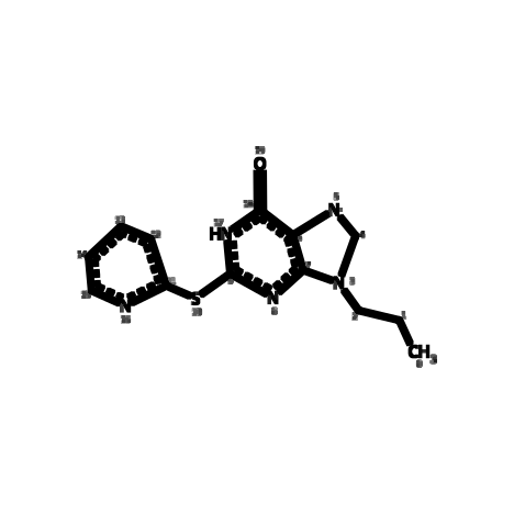 CCCN1C[N]c2c1nc(Sc1ccccn1)[nH]c2=O